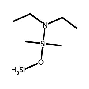 CCN(CC)[Si](C)(C)O[SiH3]